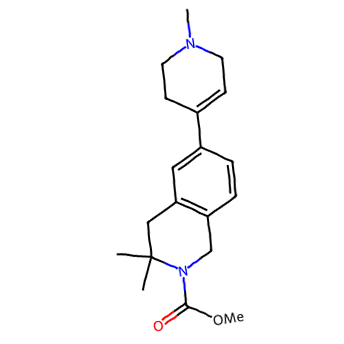 COC(=O)N1Cc2ccc(C3=CCN(C)CC3)cc2CC1(C)C